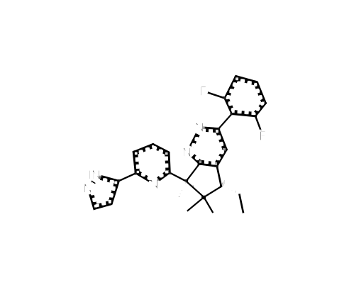 CC[C@H]1c2cc(-c3c(F)cccc3F)nnc2[C@](C)(c2cccc(-c3ccn[nH]3)n2)C1(C)C